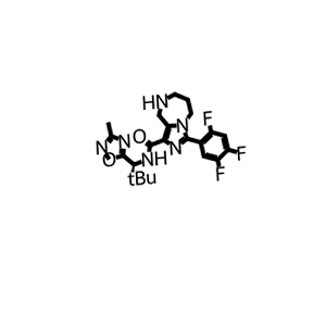 Cc1noc([C@@H](NC(=O)c2nc(-c3cc(F)c(F)cc3F)n3c2CNCCC3)C(C)(C)C)n1